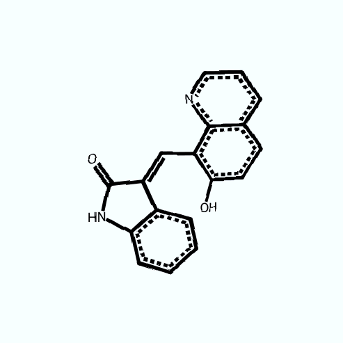 O=C1Nc2ccccc2C1=Cc1c(O)ccc2cccnc12